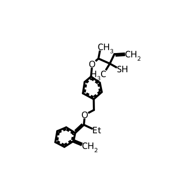 C=CC(C)(S)C(C)Oc1ccc(CO/C(CC)=c2\ccccc2=C)cc1